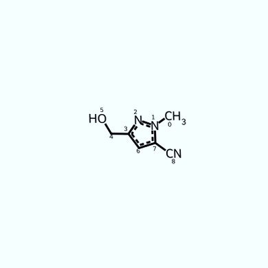 Cn1nc(CO)cc1C#N